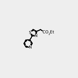 CCOC(=O)Cc1csc(-c2cccnc2)n1